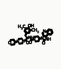 Cc1cc(C[C@@H](NC(=O)N2CCC(n3c(=O)[nH]c4c5ccccc5ncc43)CC2)C(=O)N2CCN(C3CCOCC3)CC2)cc(C)c1O